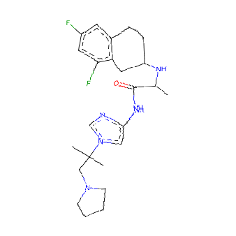 CC(NC1CCc2cc(F)cc(F)c2C1)C(=O)Nc1cn(C(C)(C)CN2CCCC2)cn1